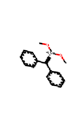 C=C(c1ccccc1)c1ccccc1.CO[SiH2]OC